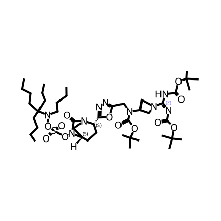 CCCCN(OS(=O)(=O)ON1C(=O)N2C[C@@H]1CC[C@H]2c1nnc(CN(C(=O)OC(C)(C)C)C2CN(/C(=N\C(=O)OC(C)(C)C)NC(=O)OC(C)(C)C)C2)o1)C(CCC)(CCCC)CCCC